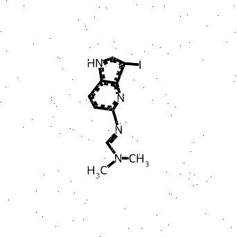 CN(C)/C=N/c1ccc2[nH]cc(I)c2n1